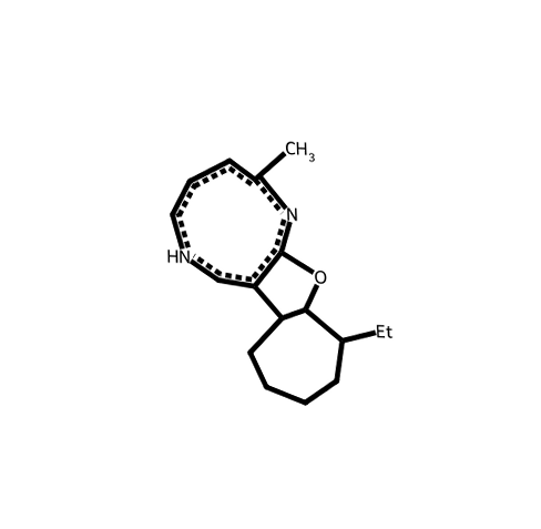 CCC1CCCCC2c3c[nH]cccc(C)nc3OC12